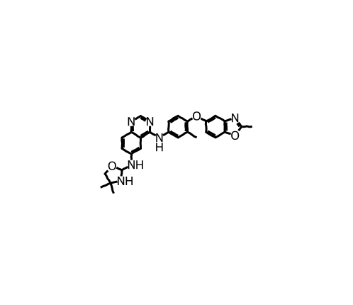 Cc1nc2cc(Oc3ccc(Nc4ncnc5ccc(NC6NC(C)(C)CO6)cc45)cc3C)ccc2o1